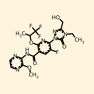 CCn1c(CO)nn(-c2nc(OC(C)C(F)(F)F)c(C(=O)Nc3nccnc3OC)cc2F)c1=O